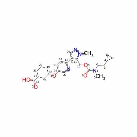 CN(CCC1CC1)C(=O)OCc1c(-c2ccc(O[C@H]3CCCC(C(=O)O)C3)cn2)cnn1C